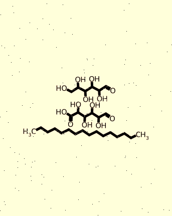 CCCCCCCCCCCCCCCC.O=CC(O)C(O)C(O)C(O)C(=O)O.O=CC(O)C(O)C(O)C(O)CO